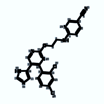 N#Cc1ccc(NCCOc2ncc(-c3cnc[nH]3)c(-c3ccc(Cl)cc3Cl)n2)nc1